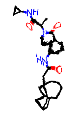 C[C@H](C(=O)NC1CC1)n1ccc2c(NC(=O)CC34CCCC5CC(CC5C3)C4)cccc2c1=O